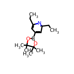 CCc1cc(B2OC(C)(C)C(C)(C)O2)cc(CC)n1